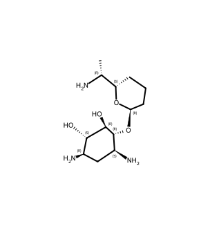 C[C@@H](N)[C@@H]1CCC[C@@H](O[C@H]2[C@H](O)[C@@H](O)[C@H](N)C[C@@H]2N)O1